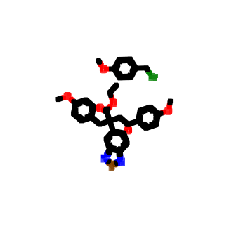 CCOC(=O)C(CC(=O)c1ccc(OC)cc1)(Cc1ccc(OC)cc1)c1ccc2nsnc2c1.COc1ccc(CBr)cc1